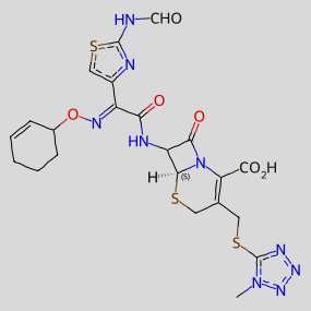 Cn1nnnc1SCC1=C(C(=O)O)N2C(=O)C(NC(=O)C(=NOC3C=CCCC3)c3csc(NC=O)n3)[C@@H]2SC1